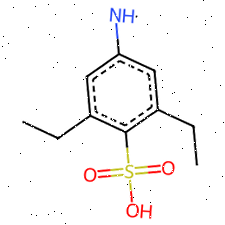 CCc1cc([NH])cc(CC)c1S(=O)(=O)O